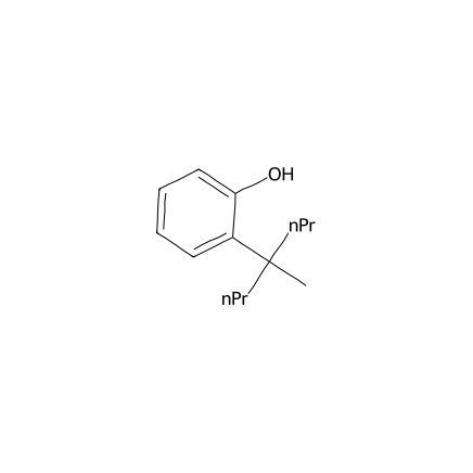 CCCC(C)(CCC)c1ccccc1O